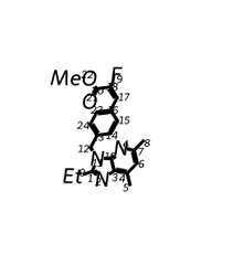 CCc1nc2c(C)cc(C)nc2n1Cc1ccc(/C=C(/F)C(=O)OC)cc1